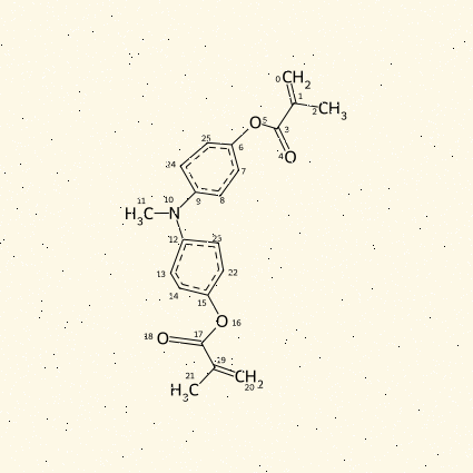 C=C(C)C(=O)Oc1ccc(N(C)c2ccc(OC(=O)C(=C)C)cc2)cc1